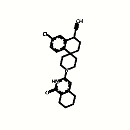 C#CC1CCC2(CCN(c3cc4c(c(=O)[nH]3)CCCC4)CC2)c2ccc(Cl)cc21